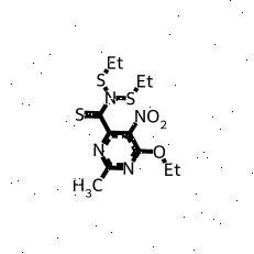 CCOc1nc(C)nc(C(=S)N(SCC)SCC)c1[N+](=O)[O-]